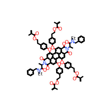 C=C(C)C(=O)OCCc1ccc(Oc2cc3c4c(cc(Oc5ccc(CCOC(=O)C(=C)C)cc5)c5c6c(Oc7ccc(CCOC(=O)C(=C)C)cc7)cc7c8c(cc(Oc9ccc(CCOC(=O)C(=C)C)cc9)c(c2c45)c86)C(=O)N(C(C)C(=O)N(CC)Cc2ccccc2)C7=O)C(=O)N(C(C)C(=O)N(CC)Cc2ccccc2)C3=O)cc1